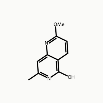 COc1ccc2c(O)nc(C)cc2n1